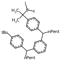 CCCCCC(c1ccc(C(C)(C)C)cc1)c1cccc(C(CCCCC)c2ccc(C(C)(C)B(I)I)cc2)c1